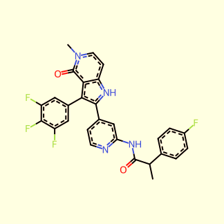 CC(C(=O)Nc1cc(-c2[nH]c3ccn(C)c(=O)c3c2-c2cc(F)c(F)c(F)c2)ccn1)c1ccc(F)cc1